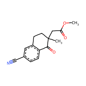 COC(=O)CC1(C)CCc2cc(C#N)ccc2C1=O